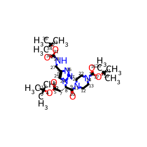 CC(C)(C)OC(=O)C[C@@H](C(=O)N1CCN(C(=O)OC(C)(C)C)CC1)n1cc(CNC(=O)OC(C)(C)C)nn1